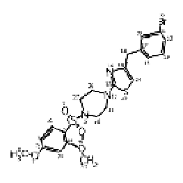 COc1ccc(S(=O)(=O)N2CCN(c3nc(Cc4cccc(Br)c4)cs3)CC2)c(OC)c1